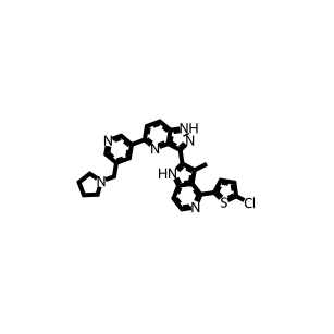 Cc1c(-c2n[nH]c3ccc(-c4cncc(CN5CCCC5)c4)nc23)[nH]c2ccnc(-c3ccc(Cl)s3)c12